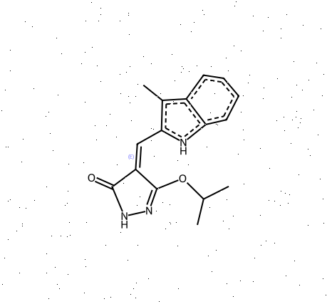 Cc1c(/C=C2/C(=O)NN=C2OC(C)C)[nH]c2ccccc12